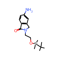 CC(C)(C)[Si](C)(C)OCCN1Cc2cc(N)ccc2C1=O